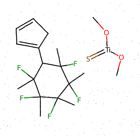 CC1(F)C(C2=CC=CC2)C(C)(F)C(C)(F)C(C)(F)C1(C)F.C[O][Ti](=[S])[O]C